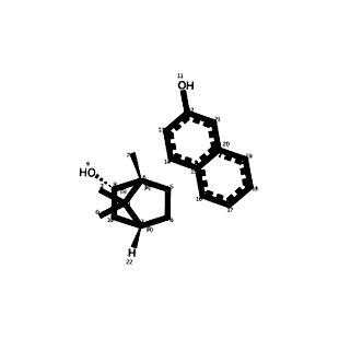 CC1(C)[C@@H]2CC[C@@]1(C)[C@@H](O)C2.Oc1ccc2ccccc2c1